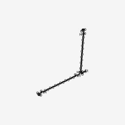 CCOCCNC(=O)[C@H](CCCCNC(=O)CCOCCOCCOCCOCCOCCOCCOCCOCCOCCOCCOCCOCCNC(=O)CCN1C(=O)C=CC1=O)NC(=O)CCOCCOCCOCCOCCOCCOCCOCCOCCOCCOCCOCCOCCNC(=O)CCN1C(=O)C=CC1=O